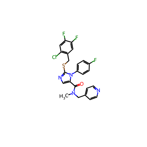 CN(Cc1ccncc1)C(=O)c1cnc(SCc2cc(F)c(F)cc2Cl)n1-c1ccc(F)cc1